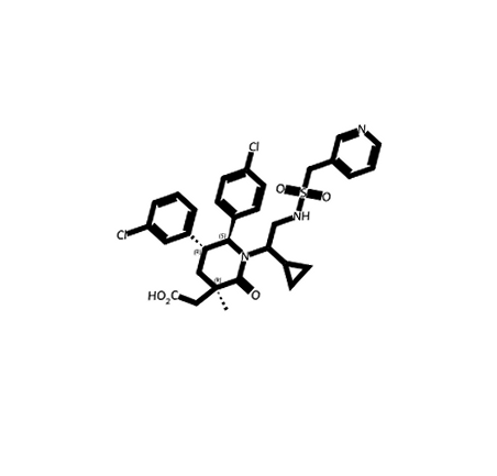 C[C@]1(CC(=O)O)C[C@H](c2cccc(Cl)c2)[C@@H](c2ccc(Cl)cc2)N(C(CNS(=O)(=O)Cc2cccnc2)C2CC2)C1=O